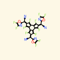 N#CC(=C1C(F)=c2c3c(c4c(c2=C1F)=C(F)C(=C(C#N)c1nc(F)c(F)o1)C=4F)=C(F)C(=C(C#N)c1nc(F)c(F)o1)C=3F)c1nc(F)c(F)o1